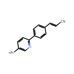 CCCc1ccc(-c2ccc(/C=C/C#N)cc2)nc1